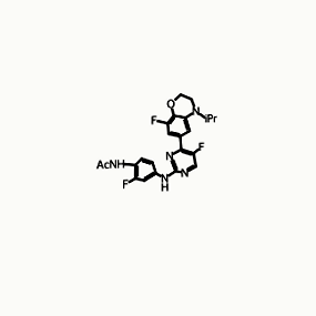 CC(=O)Nc1ccc(Nc2ncc(F)c(-c3cc(F)c4c(c3)N(C(C)C)CCO4)n2)cc1F